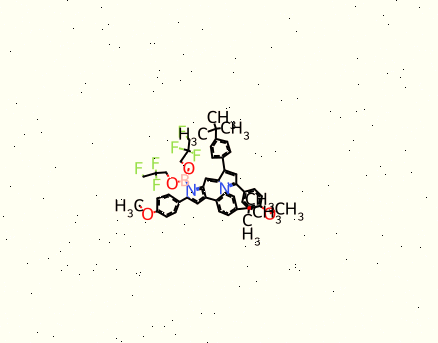 COc1ccc(C2=N/C(=C\c3c(-c4ccc(C(C)(C)C)cc4)cc(-c4ccc(OC)cc4)n3B(OCC(F)(F)CF)OCC(F)(F)CF)C(c3ccc(C(C)(C)C)cc3)=C2)cc1